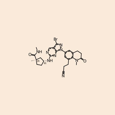 CNC(=O)[C@]1(C)CC[C@@H](Nc2ncc3c(Br)nn(-c4cc(CCC#N)c5c(c4)CCC(=O)N5C)c3n2)C1